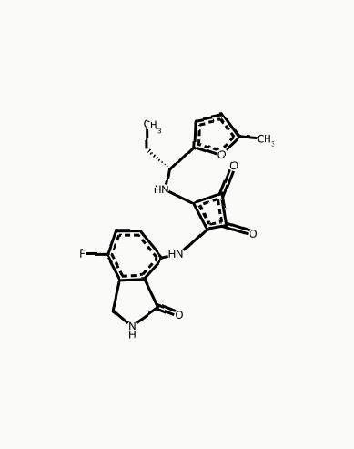 CC[C@@H](Nc1c(Nc2ccc(F)c3c2C(=O)NC3)c(=O)c1=O)c1ccc(C)o1